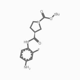 CC(C)(C)OC(=O)N1CC[C@H](C(=O)Nc2ccc(N)cc2F)C1